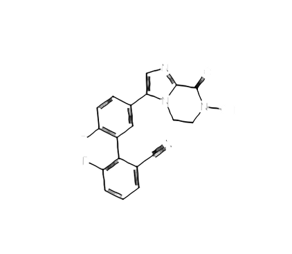 CN1CCn2c(-c3ccc(F)c(-c4c(F)cccc4C#N)c3)cnc2C1=O